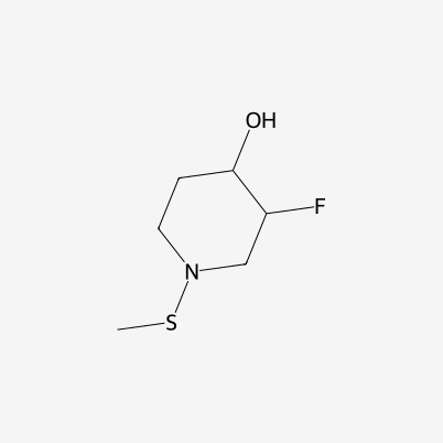 CSN1CCC(O)C(F)C1